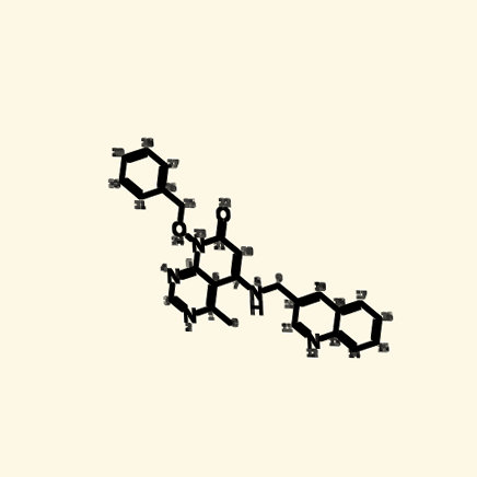 Cc1ncnc2c1c(NCc1cnc3ccccc3c1)cc(=O)n2OCc1ccccc1